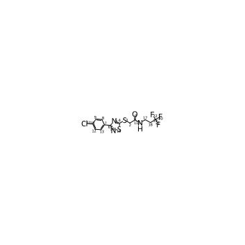 O=C(CSc1nc(-c2ccc(Cl)cc2)ns1)NCCC(F)(F)F